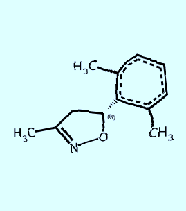 CC1=NO[C@@H](c2c(C)cccc2C)C1